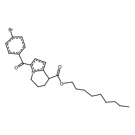 CCCCCCCCCOC(=O)C1CCCn2c(C(=O)c3ccc(Br)cc3)ccc21